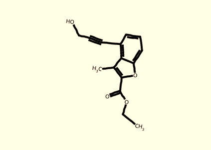 CCOC(=O)c1oc2cccc(C#CCO)c2c1C